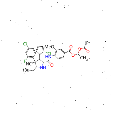 COc1cc(C(=O)OC(C)OC(=O)C(C)C)ccc1NC(=O)[C@@H]1NC(CC(C)(C)C)[C@](C#N)(c2ccc(Cl)cc2F)[C@H]1C1C=CC=C1Cl